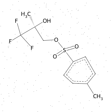 Cc1ccc(S(=O)(=O)OC[C@](C)(O)C(F)(F)F)cc1